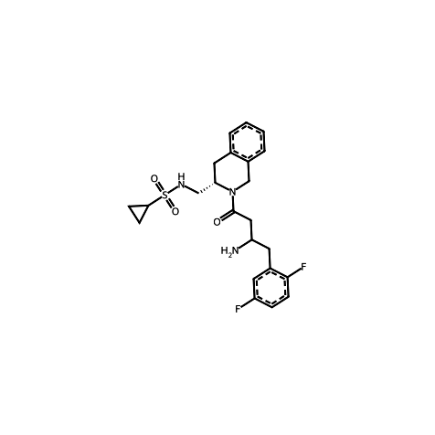 NC(CC(=O)N1Cc2ccccc2C[C@H]1CNS(=O)(=O)C1CC1)Cc1cc(F)ccc1F